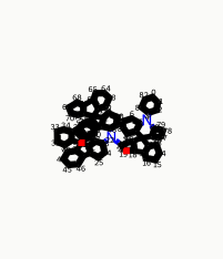 c1ccc(N2c3ccccc3C3(c4ccccc4-c4ccc(N(c5ccc6c(c5)C5(c7ccccc7-c7ccccc75)c5ccccc5-6)c5cccc6c5-c5ccccc5C65c6ccccc6-c6ccccc65)cc43)c3ccccc32)cc1